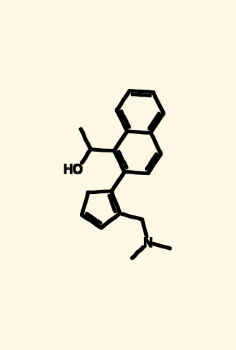 CC(O)c1c(C2=C(CN(C)C)C=CC2)ccc2ccccc12